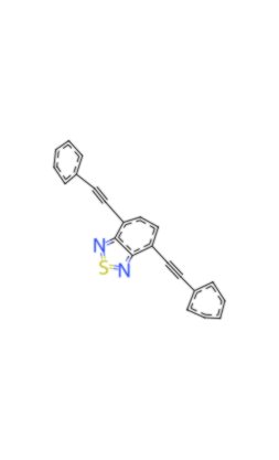 C(#Cc1ccc(C#Cc2ccccc2)c2nsnc12)c1ccccc1